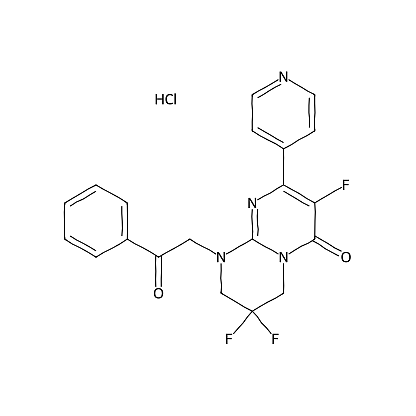 Cl.O=C(CN1CC(F)(F)Cn2c1nc(-c1ccncc1)c(F)c2=O)c1ccccc1